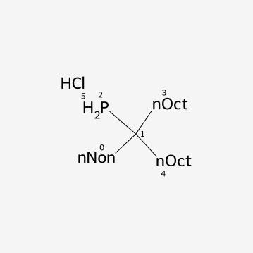 CCCCCCCCCC(P)(CCCCCCCC)CCCCCCCC.Cl